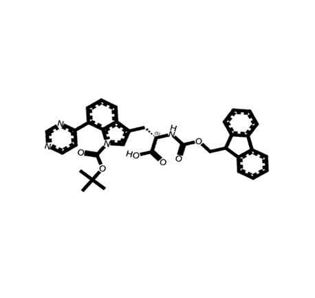 CC(C)(C)OC(=O)n1cc(C[C@H](NC(=O)OCC2c3ccccc3-c3ccccc32)C(=O)O)c2cccc(-c3ccncn3)c21